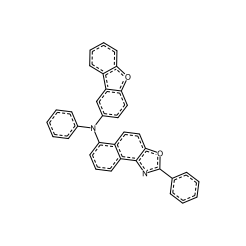 c1ccc(-c2nc3c(ccc4c(N(c5ccccc5)c5ccc6oc7ccccc7c6c5)cccc43)o2)cc1